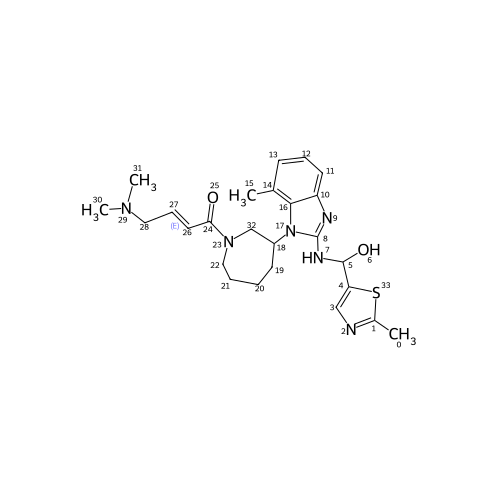 Cc1ncc(C(O)Nc2nc3cccc(C)c3n2C2CCCCN(C(=O)/C=C/CN(C)C)C2)s1